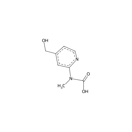 CN(C(=O)O)c1cc(CO)ccn1